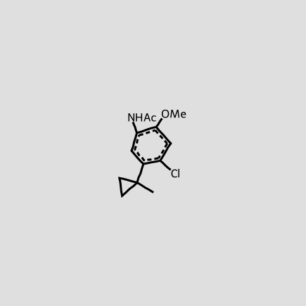 COc1cc(Cl)c(C2(C)CC2)cc1NC(C)=O